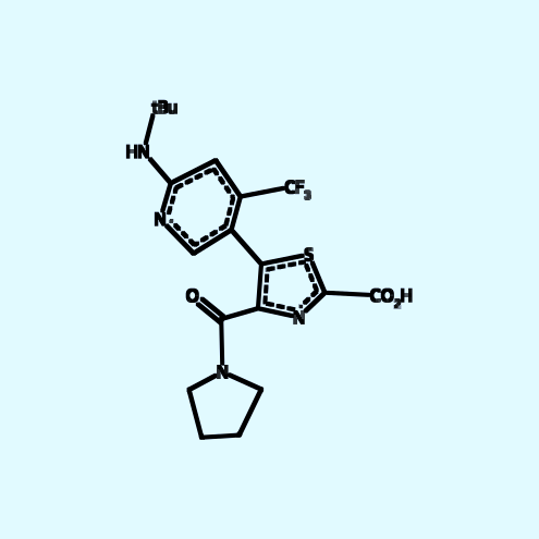 CC(C)(C)Nc1cc(C(F)(F)F)c(-c2sc(C(=O)O)nc2C(=O)N2CCCC2)cn1